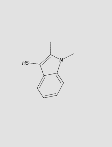 Cc1c(S)c2ccccc2n1C